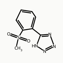 CS(=O)(=O)c1ccccc1-c1nnn[nH]1